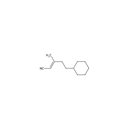 CC(=CC#N)CCC1CCCCC1